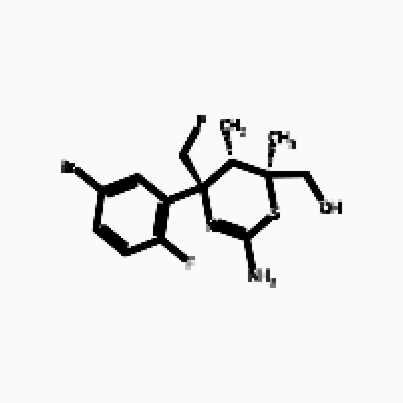 C[C@@H]1[C@@](C)(CO)SC(N)=N[C@]1(CF)c1cc(Br)ccc1F